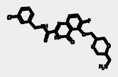 NCC1COC(COc2c(F)ccc3nc(C(=O)NCc4cccc(Cl)c4)[nH]c(=O)c23)CO1